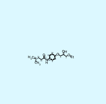 CCOCC(O)COc1ccc(NC(=O)CC[S+](C)C)cc1